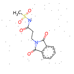 CS(=O)(=O)[N]C(=O)CCN1C(=O)c2ccccc2C1=O